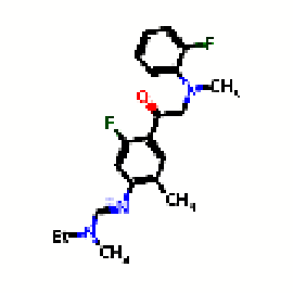 CCN(C)/C=N/c1cc(F)c(C(=O)CN(C)c2ccccc2F)cc1C